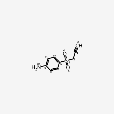 C#CCS(=O)(=O)c1ccc(N)cc1